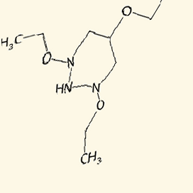 CCOC1CN(OCC)NN(OCC)C1